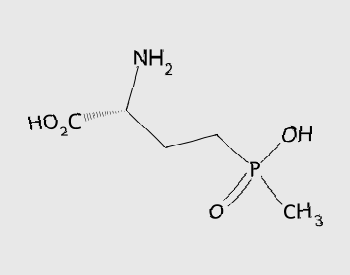 CP(=O)(O)CC[C@@H](N)C(=O)O